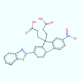 O=C(O)CCC1(CCC(=O)O)c2cc(-c3nc4ccccc4s3)ccc2-c2ccc([N+](=O)[O-])cc21